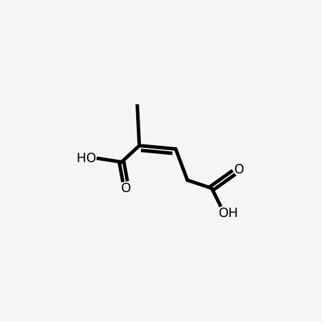 C/C(=C/CC(=O)O)C(=O)O